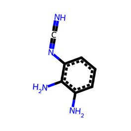 N=C=Nc1cccc(N)c1N